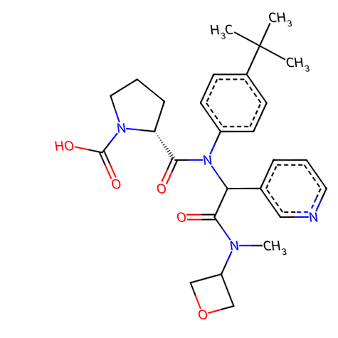 CN(C(=O)C(c1cccnc1)N(C(=O)[C@H]1CCCN1C(=O)O)c1ccc(C(C)(C)C)cc1)C1COC1